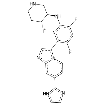 Fc1cc(F)c(-c2cnc3cc(-c4ncc[nH]4)ccn23)nc1N[C@@H]1CNCC[C@H]1F